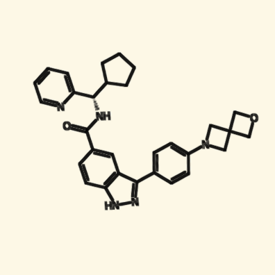 O=C(N[C@H](c1ccccn1)C1CCCC1)c1ccc2[nH]nc(-c3ccc(N4CC5(COC5)C4)cc3)c2c1